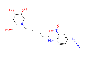 [N-]=[N+]=Nc1ccc(NCCCCCCN2C[C@H](O)[C@@H](O)C[C@H]2CO)c([N+](=O)[O-])c1